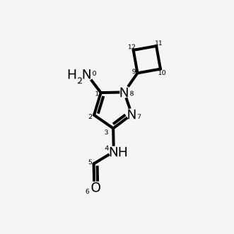 Nc1cc(NC=O)nn1C1CCC1